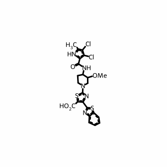 COC1CN(c2nc(-c3nc4ccccc4s3)c(C(=O)O)s2)CCC1NC(=O)c1[nH]c(C)c(Cl)c1Cl